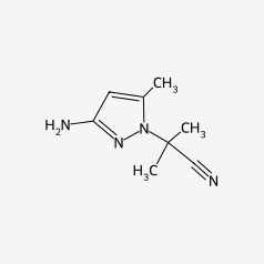 Cc1cc(N)nn1C(C)(C)C#N